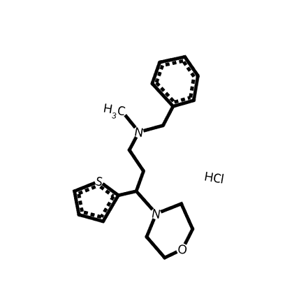 CN(CCC(c1cccs1)N1CCOCC1)Cc1ccccc1.Cl